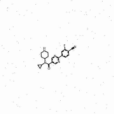 N#Cc1ccc(-c2ncc(C(=O)N(C3CCNCC3)C3CC3)cn2)cc1F